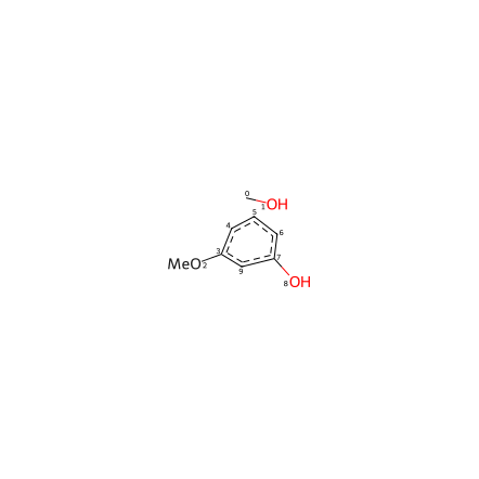 CO.COc1cccc(O)c1